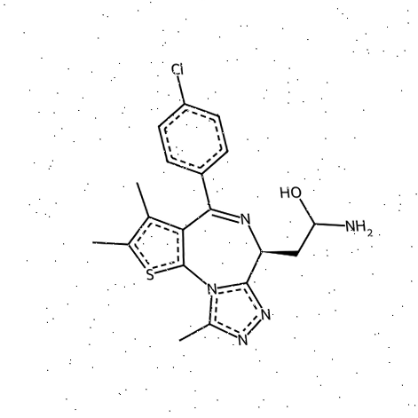 Cc1sc2c(c1C)C(c1ccc(Cl)cc1)=N[C@@H](CC(N)O)c1nnc(C)n1-2